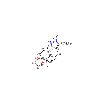 COc1c2c(nn1C)[C@@]1(C)CCC3(OCCO3)C(C)(C)[C@@H]1CC2